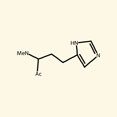 CNC(CCc1cnc[nH]1)C(C)=O